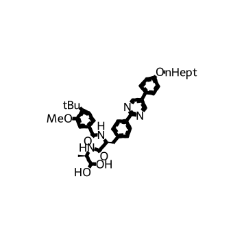 CCCCCCCOc1ccc(-c2cnc(-c3ccc(C[C@H](NC(=O)c4ccc(C(C)(C)C)c(OC)c4)C(=O)N[C@H](C)C(O)O)cc3)nc2)cc1